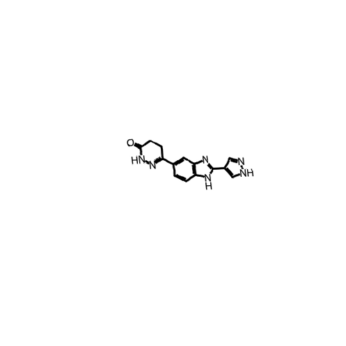 O=C1CCC(c2ccc3[nH]c(-c4cn[nH]c4)nc3c2)=NN1